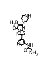 Bc1c(N2CCNCC2)nc2sc(-c3cncc(NC(=O)CN)c3)nn2c1=O